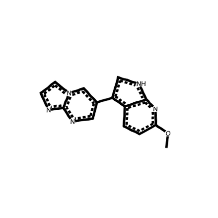 COc1ccc2c(-c3cnc4nccn4c3)c[nH]c2n1